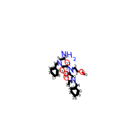 COCCN(CC(=O)N(CC(N)=O)Cc1ccccc1)C(=O)CN(Cc1ccccc1)C(C)=O